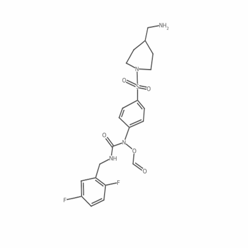 NCC1CCN(S(=O)(=O)c2ccc(N(OC=O)C(=O)NCc3cc(F)ccc3F)cc2)CC1